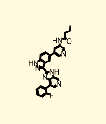 CCCC(=O)Nc1cncc(-c2ccc3[nH]nc(-c4nc5c(-c6ccccc6F)cncc5[nH]4)c3c2)c1